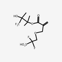 C=C(COCC(F)(F)S(=O)(=O)O)C(=O)OC(C)(C)C(C)(O)C(F)(F)F